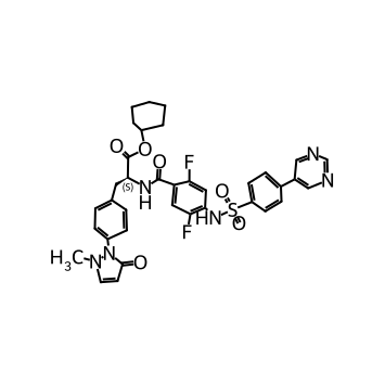 Cn1ccc(=O)n1-c1ccc(C[C@H](NC(=O)c2cc(F)c(NS(=O)(=O)c3ccc(-c4cncnc4)cc3)cc2F)C(=O)OC2CCCCC2)cc1